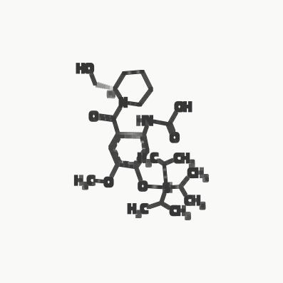 COc1cc(C(=O)N2CCCC[C@H]2CO)c(NC(=O)O)cc1O[Si](C(C)C)(C(C)C)C(C)C